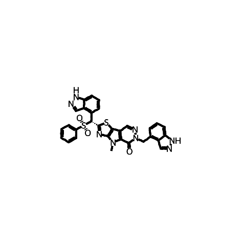 Cn1c2nc([C@@H](c3cccc4[nH]ncc34)S(=O)(=O)c3ccccc3)sc2c2cnn(Cc3cccc4[nH]ncc34)c(=O)c21